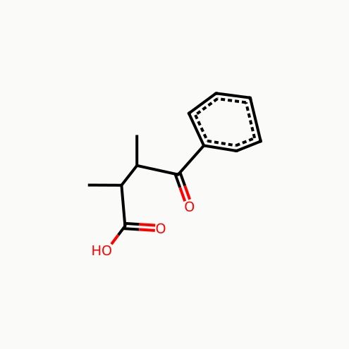 CC(C(=O)O)C(C)C(=O)c1ccccc1